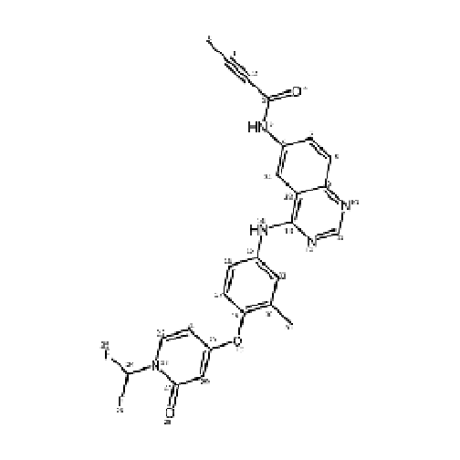 CC#CC(=O)Nc1ccc2ncnc(Nc3ccc(Oc4ccn(C(F)F)c(=O)c4)c(C)c3)c2c1